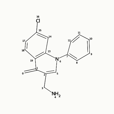 C=C1C(CN)=CN(c2ccccc2)c2cc(Cl)ccc21